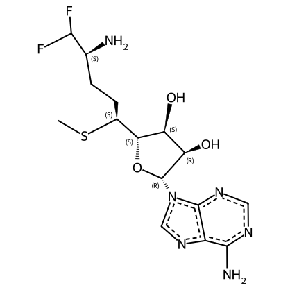 CS[C@@H](CC[C@H](N)C(F)F)[C@H]1O[C@@H](n2cnc3c(N)ncnc32)[C@H](O)[C@@H]1O